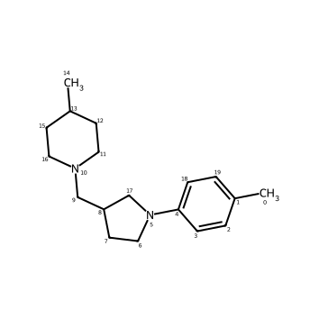 Cc1ccc(N2CCC(CN3CCC(C)CC3)C2)cc1